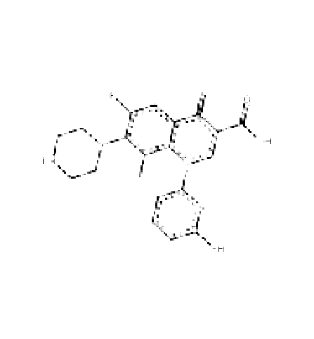 O=C(O)c1cn(-c2cccc(S)n2)c2c(Cl)c(N3CCNCC3)c(F)cc2c1=O